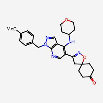 COc1ccc(Cn2ncc3c(NC4CCOCC4)c(C4=NOC5(CCC(=O)CC5)C4)cnc32)cc1